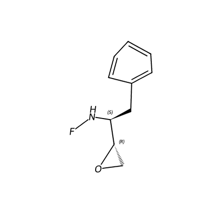 FN[C@@H](Cc1ccccc1)[C@@H]1CO1